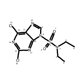 CCN(CC)S(=O)(=O)n1cnc2c(Cl)nc(Cl)nc21